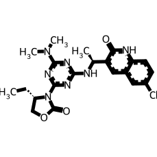 CC[C@H]1COC(=O)N1c1nc(N[C@@H](C)c2cc3cc(Cl)ccc3[nH]c2=O)nc(N(C)C)n1